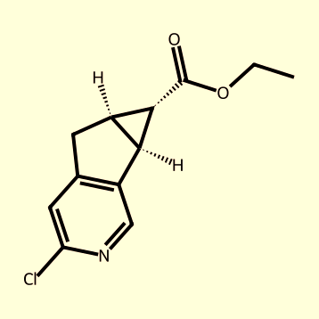 CCOC(=O)[C@H]1[C@@H]2Cc3cc(Cl)ncc3[C@@H]21